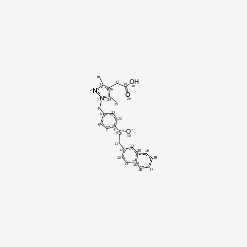 Cc1nn(Cc2ccc([S+]([O-])Cc3ccc4ccccc4c3)cc2)c(C)c1CC(=O)O